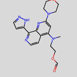 CN(CCOC=O)c1cc(N2CCOCC2)nc2c(-c3ccn[nH]3)nccc12